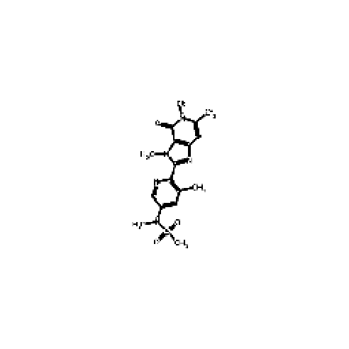 CCn1c(C(F)(F)F)cc2nc(-c3ncc(N(C)S(C)(=O)=O)cc3C)n(C)c2c1=O